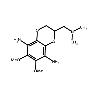 COc1c(N)c2c(c(N)c1OC)SC(CN(C)C)CO2